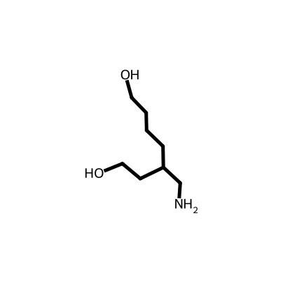 NCC(CCO)CCCCO